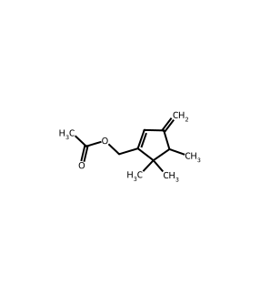 C=C1C=C(COC(C)=O)C(C)(C)C1C